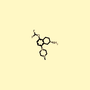 CN1CCN(c2ccc(OC(F)F)c3c2C[C@H](N)CC3)CC1